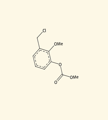 COC(=O)Oc1cccc(CCl)c1OC